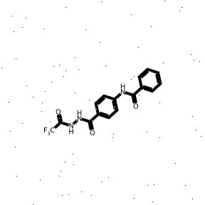 O=C(NNC(=O)C(F)(F)F)c1ccc(NC(=O)c2ccccc2)cc1